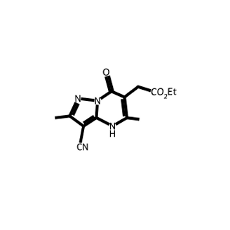 CCOC(=O)Cc1c(C)[nH]c2c(C#N)c(C)nn2c1=O